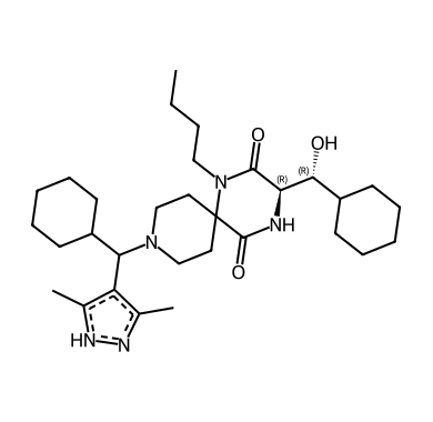 CCCCN1C(=O)[C@@H]([C@H](O)C2CCCCC2)NC(=O)C12CCN(C(c1c(C)n[nH]c1C)C1CCCCC1)CC2